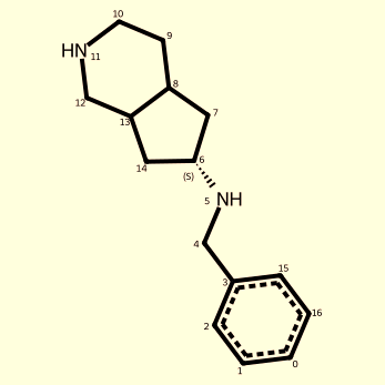 c1ccc(CN[C@H]2CC3CCNCC3C2)cc1